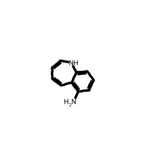 Nc1cccc2c1C=CC=CN2